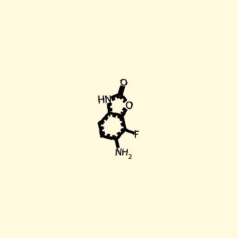 Nc1ccc2[nH]c(=O)oc2c1F